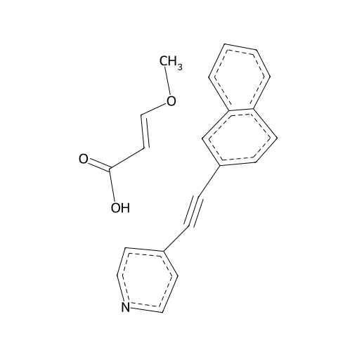 C(#Cc1ccc2ccccc2c1)c1ccncc1.COC=CC(=O)O